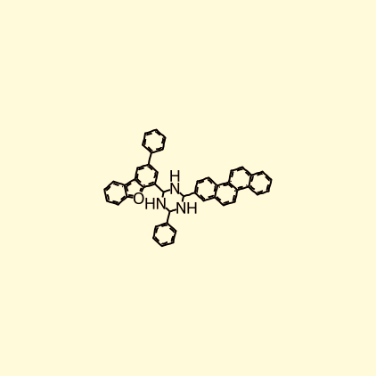 c1ccc(-c2cc(C3NC(c4ccccc4)NC(c4ccc5c(ccc6c7ccccc7ccc56)c4)N3)c3oc4ccccc4c3c2)cc1